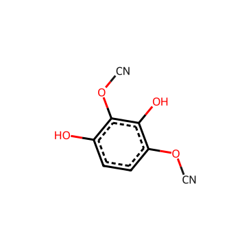 N#COc1ccc(O)c(OC#N)c1O